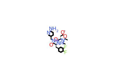 CCN(CC)[C@@H](CC(=O)OC)C(=O)N[C@@H](Cc1ccc(F)c(F)c1)C(=O)NCc1ccc(N)nc1